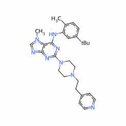 Cc1ccc(C(C)(C)C)cc1Nc1nc(N2CCN(CCc3ccncc3)CC2)nc2ncn(C)c12